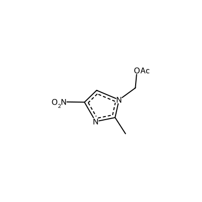 CC(=O)OCn1cc([N+](=O)[O-])nc1C